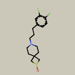 [O-][S+]1CC2(CCN(CCCc3ccc(F)c(F)c3)CC2)C1